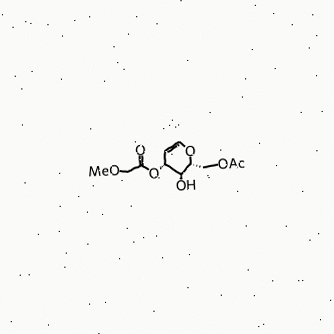 COCC(=O)O[C@@H]1C=CO[C@H](COC(C)=O)[C@H]1O